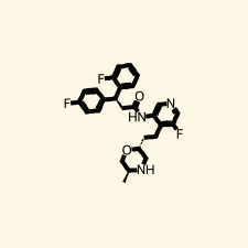 C[C@H]1CO[C@H](CCc2c(F)cncc2NC(=O)C[C@@H](c2ccc(F)cc2)c2ccccc2F)CN1